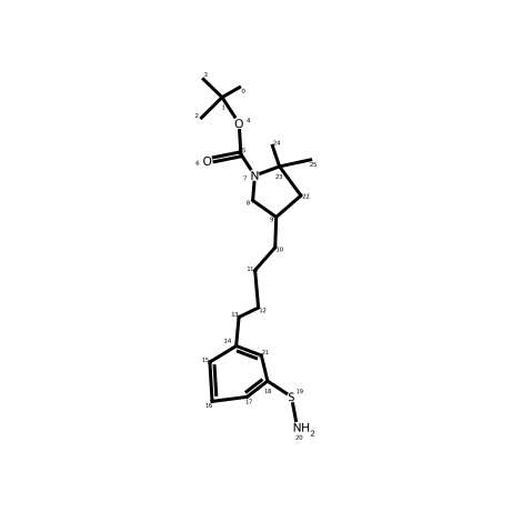 CC(C)(C)OC(=O)N1CC(CCCCc2cccc(SN)c2)CC1(C)C